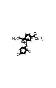 CCc1nn(Cc2ccc(Cl)cc2Cl)c2cc(C(=O)OC)ccc12